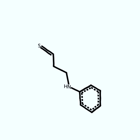 S=CCCNc1ccccc1